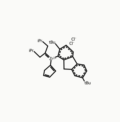 CC(C)C[C](CC(C)C)=[Zr+2]([C]1=CC=CC1)[c]1c(C(C)(C)C)ccc2c1Cc1cc(C(C)(C)C)ccc1-2.[Cl-].[Cl-]